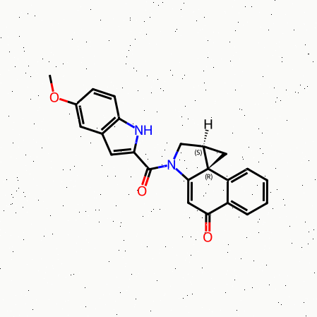 COc1ccc2[nH]c(C(=O)N3C[C@H]4C[C@@]45C3=CC(=O)c3ccccc35)cc2c1